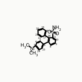 CN(C)c1ccc(-c2cccc(S(N)(=O)=O)c2-c2ccccc2)cc1